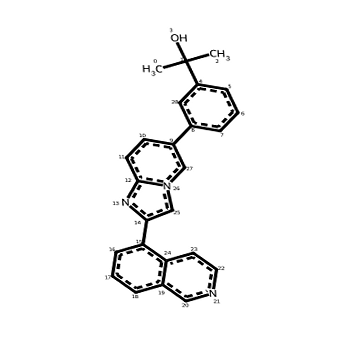 CC(C)(O)c1cccc(-c2ccc3nc(-c4cccc5cnccc45)cn3c2)c1